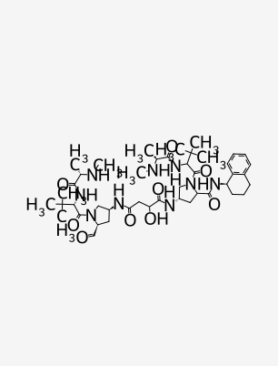 CN[C@@H](C)C(=O)NC(C(=O)N1C[C@@H](NC(=O)C(O)CC(=O)N[C@H]2C[C@@H](C=O)N(C(=O)[C@@H](NC(=O)[C@H](C)NC)C(C)(C)C)C2)CC1C(=O)N[C@@H]1CCCc2ccccc21)C(C)(C)C